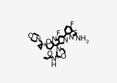 C=CC(=O)N[C@@H]1COCCN(c2c3c(nc4c(F)c(-c5ccc(F)c6sc(N)nc56)ncc24)O[C@@H](C2(CN4CCOCC4)CC2)CC3)C1